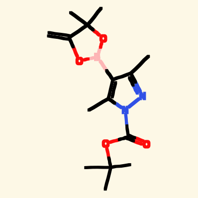 C=C1OB(c2c(C)nn(C(=O)OC(C)(C)C)c2C)OC1(C)C